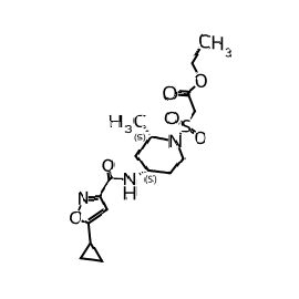 CCOC(=O)CS(=O)(=O)N1CC[C@H](NC(=O)c2cc(C3CC3)on2)C[C@@H]1C